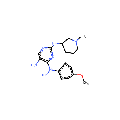 COc1ccc(N(N)c2nc(NC3CCCN(C)C3)ncc2N)cc1